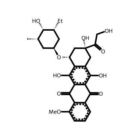 CC[C@@H]1C[C@@H](O[C@@H]2C[C@@](O)(C(=O)CO)Cc3c(O)c4c(c(O)c32)C(=O)c2c(OC)cccc2C4=O)C[C@H](C)[C@@H]1O